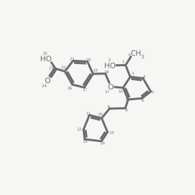 CC(O)c1cccc(CCc2ccccc2)c1OCc1ccc(C(=O)O)cc1